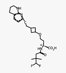 CC(C)(CC(=O)N[C@@H](CCOC1CC(CCc2ccc3c(n2)NCCC3)C1)C(=O)O)C(F)F